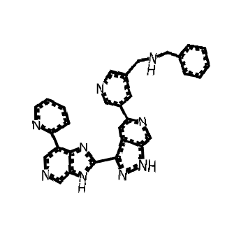 c1ccc(CNCc2cncc(-c3cc4c(-c5nc6c(-c7ccccn7)cncc6[nH]5)n[nH]c4cn3)c2)cc1